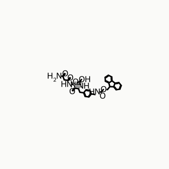 NC(=O)CC(=O)NNC(=O)C(Cc1ccc(CNC(=O)OCC2c3ccccc3-c3ccccc32)cc1)NC(=O)O